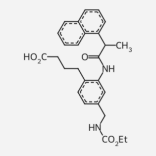 CCOC(=O)NCc1ccc(CCCC(=O)O)c(NC(=O)C(C)c2cccc3ccccc23)c1